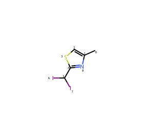 Cc1csc(C(I)I)n1